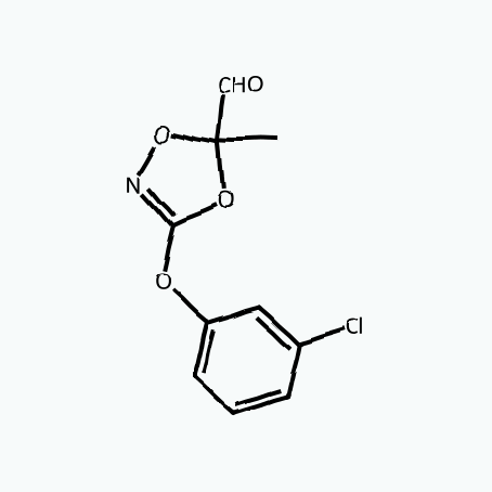 CC1(C=O)ON=C(Oc2cccc(Cl)c2)O1